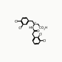 O=C(O)C[C@H](Cc1ccc(Cl)c(Cl)c1)NC(=O)Cc1cccc(Cl)c1Cl